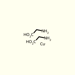 NCC(=O)O.NCC(=O)O.[Cu]